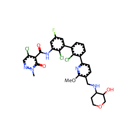 COc1nc(-c2cccc(-c3cc(F)cc(NC(=O)c4c(Cl)cnn(C)c4=O)c3Cl)c2Cl)ccc1CNC1CCOCC1O